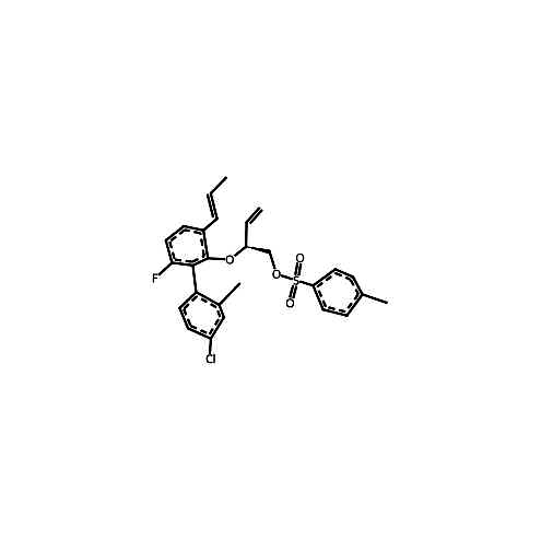 C=C[C@@H](COS(=O)(=O)c1ccc(C)cc1)Oc1c(C=CC)ccc(F)c1-c1ccc(Cl)cc1C